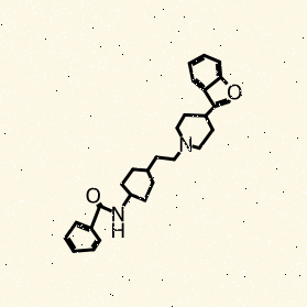 O=C(NC1CCC(CCN2CCC(c3coc4ccccc34)CC2)CC1)c1ccccc1